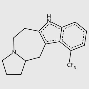 FC(F)(F)c1cccc2[nH]c3c(c12)CC1CCCN1CC3